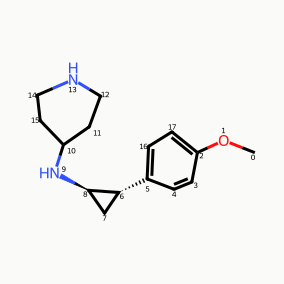 COc1ccc([C@@H]2C[C@H]2NC2CCNCC2)cc1